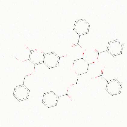 CCCCCCCCOc1c(OCc2ccccc2)c2ccc(O[C@H]3O[C@H](COC(=O)c4ccccc4)[C@@H](OC(=O)c4ccccc4)[C@H](OC(=O)c4ccccc4)[C@@H]3OC(=O)c3ccccc3)cc2oc1=O